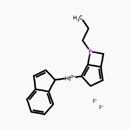 CCCP1CC2=CC[C]([Hf+2][CH]3C=Cc4ccccc43)=C21.[F-].[F-]